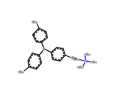 CC(C)(C)c1ccc(B(c2ccc(C(C)(C)C)cc2)c2ccc(C(C)(C)C)cc2)cc1.CCCC[N+](CCCC)(CCCC)CCCC